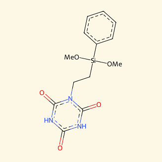 CO[Si](CCn1c(=O)[nH]c(=O)[nH]c1=O)(OC)c1ccccc1